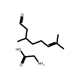 CC(C)=CCCC(C)CC=O.NCC(=O)O